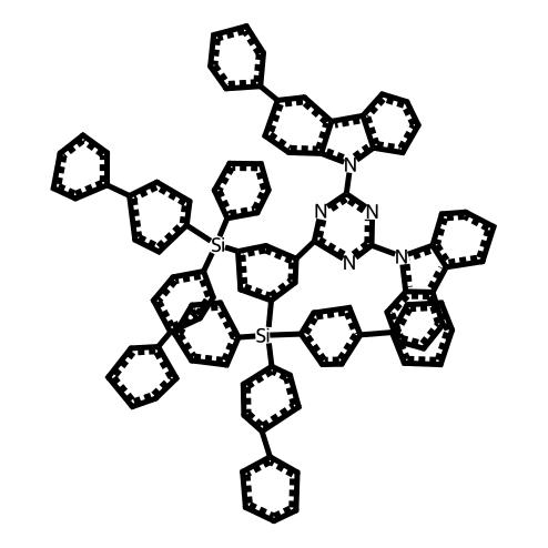 c1ccc(-c2ccc([Si](c3ccccc3)(c3ccc(-c4ccccc4)cc3)c3cc(-c4nc(-n5c6ccccc6c6ccccc65)nc(-n5c6ccccc6c6cc(-c7ccccc7)ccc65)n4)cc([Si](c4ccccc4)(c4ccc(-c5ccccc5)cc4)c4ccc(-c5ccccc5)cc4)c3)cc2)cc1